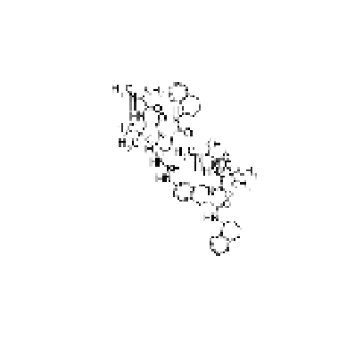 CN[C@@H](C)C(=O)NC(C(=O)N1Cc2cc(NBN[C@H]3C[C@@H](C(=O)N[C@@H]4CCCc5ccccc54)N(C(=O)[C@@H](NC(=O)[C@H](C)NC)C(C)(C)C)C3)ccc2C[C@H]1C(=O)N[C@@H]1CCCc2ccccc21)C(C)(C)C